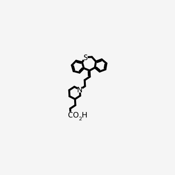 O=C(O)CCC1CCCN(CCC=C2c3ccccc3CSc3ccccc32)C1